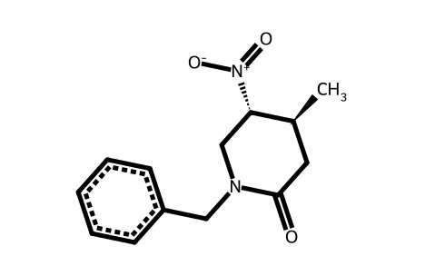 C[C@H]1CC(=O)N(Cc2ccccc2)C[C@@H]1[N+](=O)[O-]